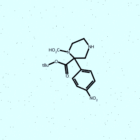 CC(C)(C)OC(=O)C1(c2ccc([N+](=O)[O-])cc2)CNCCN1C(=O)O